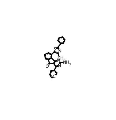 Cc1nc(-c2ccccc2)sc1-c1cccc2c1-c1nc(N)nc(-c3ccccc3)c1C2=O